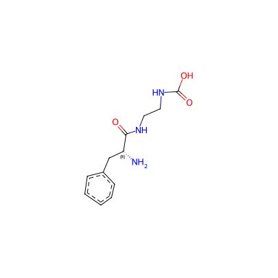 N[C@H](Cc1ccccc1)C(=O)NCCNC(=O)O